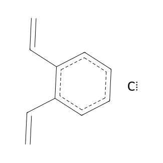 C=Cc1ccccc1C=C.[C]